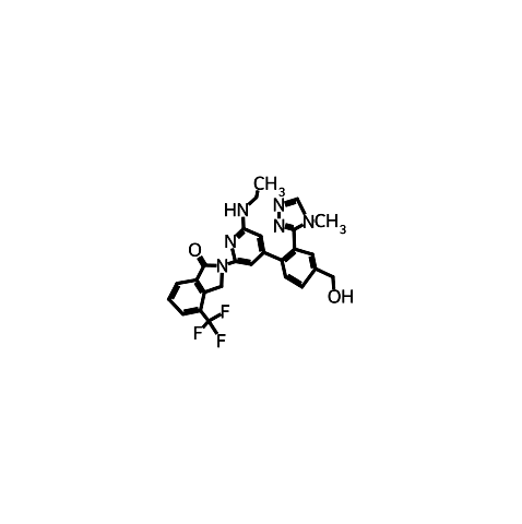 CCNc1cc(-c2ccc(CO)cc2-c2nncn2C)cc(N2Cc3c(cccc3C(F)(F)F)C2=O)n1